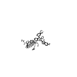 CN(N)/N=C(\N)c1ccc(C(C(=O)Nc2nc3ccc(F)cc3s2)C2CCC(F)(F)C2)cc1